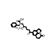 COC(CCCC(=O)c1cc2c3c(c1)CCN3C(=O)CC2)CN(Cc1ccccc1)C(=O)O